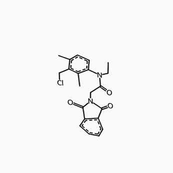 CCN(C(=O)CN1C(=O)c2ccccc2C1=O)c1ccc(C)c(CCl)c1C